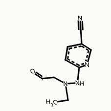 CCN(C[C]=O)Nc1ccc(C#N)cn1